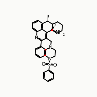 C[C@H](c1cccc2nc(-c3ccccc3)c(CN3CCN(S(=O)(=O)c4ccccc4)CC3)c(C(N)=O)c12)C1CCCCC1